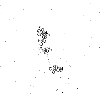 CC(Oc1cc(C(=O)Nc2ccc(C(=O)N3C[C@@H](C)N(C(=O)CCCCCCCCCCc4cccc5c4C(=O)N(C4CCC(=O)NC4=O)C5=O)[C@@H](C)C3)cc2)nnc1N)c1c(Cl)ccc(F)c1Cl